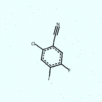 N#Cc1cc(F)c(I)cc1Cl